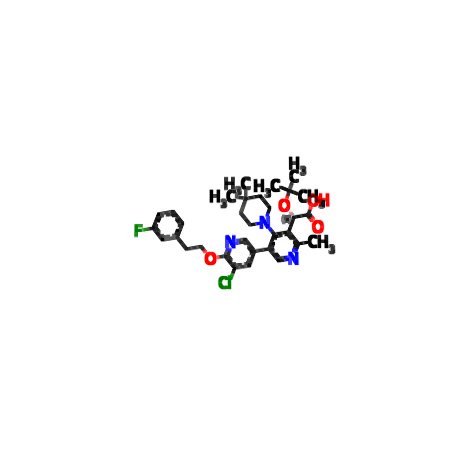 Cc1ncc(-c2cnc(OCCc3cccc(F)c3)c(Cl)c2)c(N2CCC(C)(C)CC2)c1[C@H](OC(C)(C)C)C(=O)O